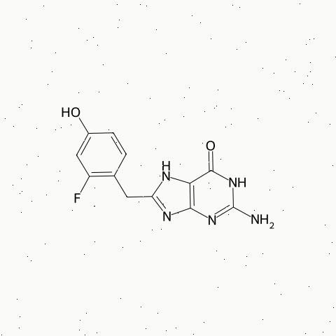 Nc1nc2nc(Cc3ccc(O)cc3F)[nH]c2c(=O)[nH]1